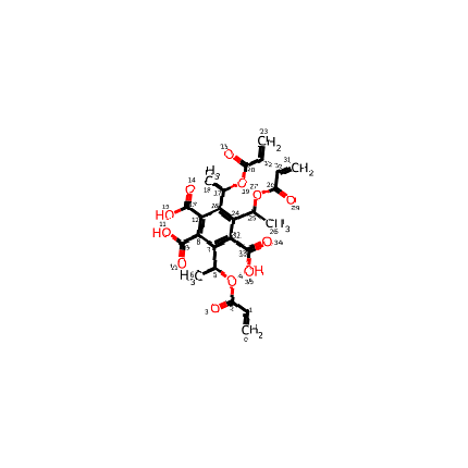 C=CC(=O)OC(C)c1c(C(=O)O)c(C(=O)O)c(C(C)OC(=O)C=C)c(C(C)OC(=O)C=C)c1C(=O)O